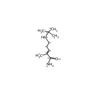 C/C(=C\CCNC(C)(C)C)C(N)=O